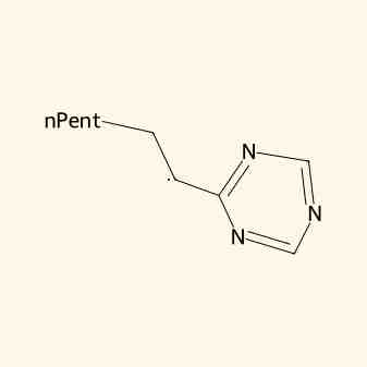 CCCCCC[CH]c1ncncn1